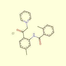 Cc1ccc(C(=O)C[n+]2ccccc2)c(NC(=O)c2ccccc2C)c1.[Cl-]